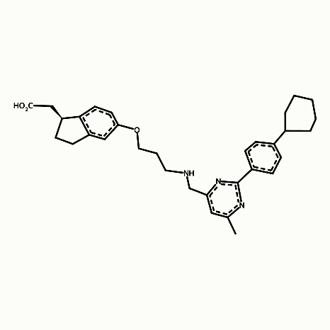 Cc1cc(CNCCCOc2ccc3c(c2)CC[C@H]3CC(=O)O)nc(-c2ccc(C3CCCCC3)cc2)n1